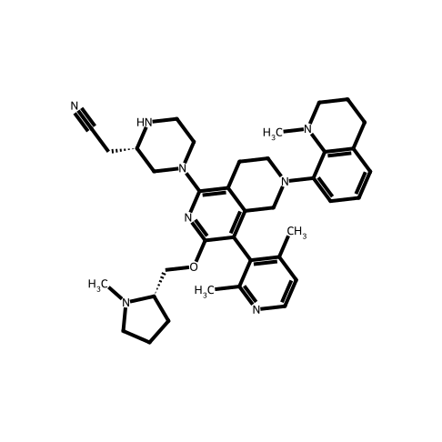 Cc1ccnc(C)c1-c1c(OC[C@@H]2CCCN2C)nc(N2CCN[C@@H](CC#N)C2)c2c1CN(c1cccc3c1N(C)CCC3)CC2